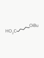 CC(C)COCCCCCC(=O)O